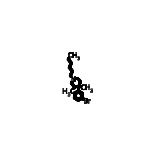 CCCCCCN1CCC(C)(c2cccc(Br)c2)C(C)C1